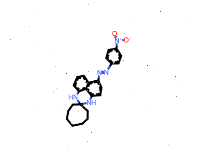 O=[N+]([O-])c1ccc(N=Nc2ccc3c4c(cccc24)NC2(CCCCCCC2)N3)cc1